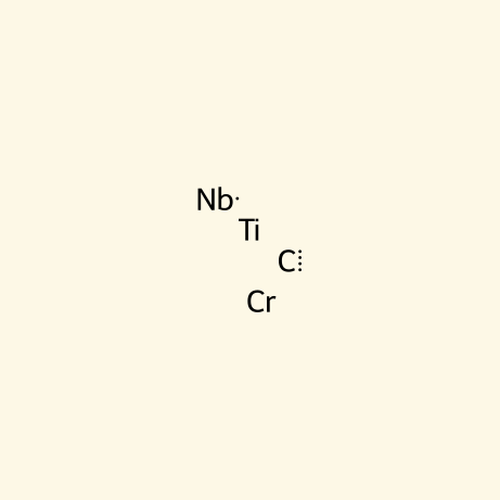 [C].[Cr].[Nb].[Ti]